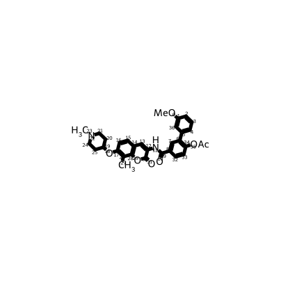 COc1cccc(-c2cc(C(=O)Nc3cc4ccc(OC5CCN(C)CC5)c(C)c4oc3=O)ccc2OC(C)=O)c1